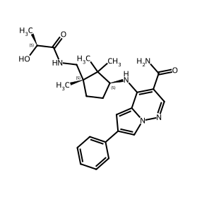 C[C@H](O)C(=O)NC[C@@]1(C)CC[C@H](Nc2c(C(N)=O)cnn3cc(-c4ccccc4)cc23)C1(C)C